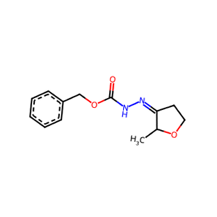 CC1OCCC1=NNC(=O)OCc1ccccc1